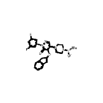 CC(C)(C)[S+]([O-])N1CCN(c2cnn(-c3cc(F)cc(F)c3)c(=O)c2OC2Cc3ccccc3C2)CC1